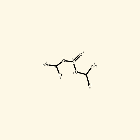 CCCC(CC)OS(=O)OC(CC)CCC